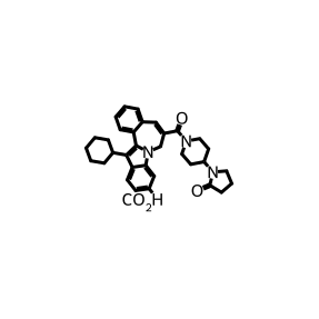 O=C(O)c1ccc2c(C3CCCCC3)c3n(c2c1)CC(C(=O)N1CCC(N2CCCC2=O)CC1)=Cc1ccccc1-3